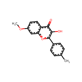 COc1ccc2c(=O)c(O)c(-c3ccc(C)cc3)oc2c1